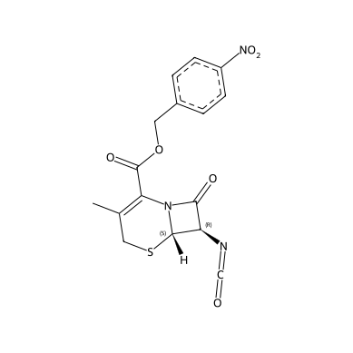 CC1=C(C(=O)OCc2ccc([N+](=O)[O-])cc2)N2C(=O)[C@@H](N=C=O)[C@@H]2SC1